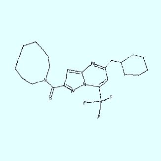 O=C(c1cc2nc(CC3CCCCC3)cc(C(F)(F)F)n2n1)N1CCCCCCCC1